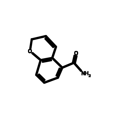 NC(=O)c1cccc2c1C=CCO2